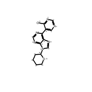 Clc1ncncc1-c1ncnc2c1ncn2C1CCCCO1